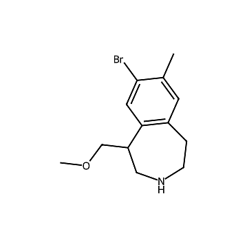 COCC1CNCCc2cc(C)c(Br)cc21